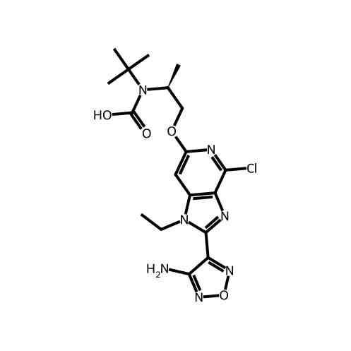 CCn1c(-c2nonc2N)nc2c(Cl)nc(OC[C@H](C)N(C(=O)O)C(C)(C)C)cc21